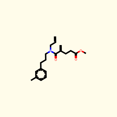 C=CCN(CCCc1cccc(C)c1)C(=O)C(=C)CCC(=O)OC